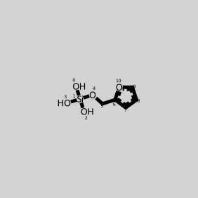 O[Si](O)(O)OCc1ccco1